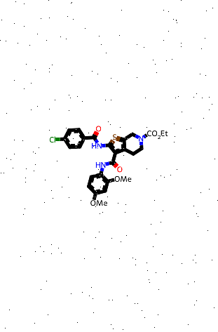 CCOC(=O)N1CCc2c(sc(NC(=O)c3ccc(Cl)cc3)c2C(=O)Nc2ccc(OC)cc2OC)C1